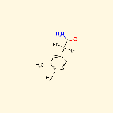 CCC(CC)(C(N)=O)c1ccc(C)c(C)c1